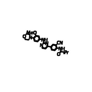 COc1cc(Nc2nccc(-c3ccc(NC(=O)C(C)C)c(C#N)c3)n2)ccc1N1CCOCC1